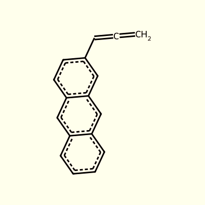 C=C=Cc1ccc2cc3ccccc3cc2c1